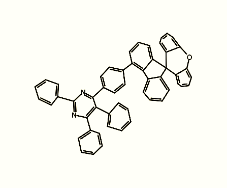 c1ccc(-c2nc(-c3ccccc3)c(-c3ccccc3)c(-c3ccc(-c4cccc5c4-c4ccccc4C54c5ccccc5Oc5ccccc54)cc3)n2)cc1